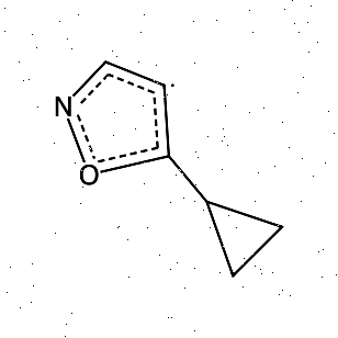 [c]1cnoc1C1CC1